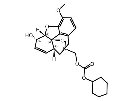 COc1ccc2c3c1O[C@H]1[C@@H](O)C=C[C@H]4C(C2)N(COC(=O)OC2CCCCC2)CC[C@@]341